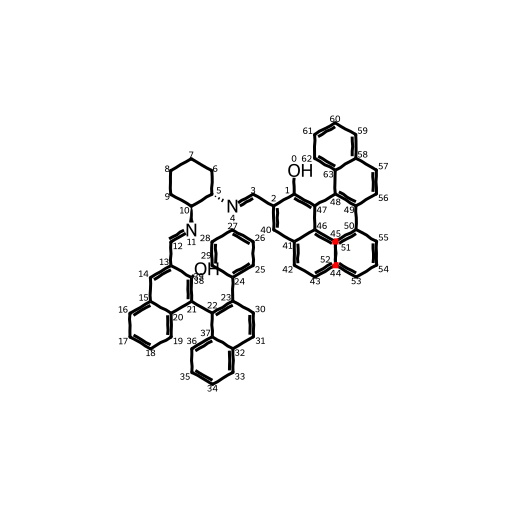 Oc1c(/C=N/[C@H]2CCCC[C@@H]2/N=C/c2cc3ccccc3c(-c3c(-c4ccccc4)ccc4ccccc34)c2O)cc2ccccc2c1-c1c(-c2ccccc2)ccc2ccccc12